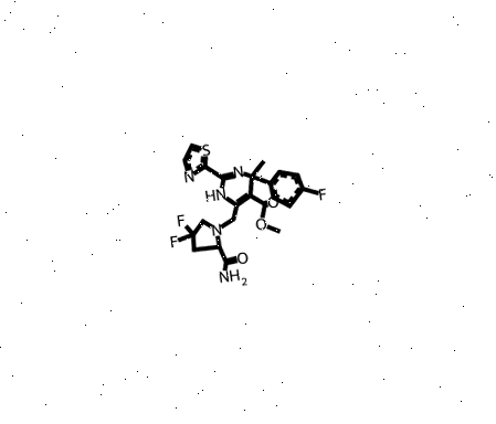 COC(=O)C1=C(CN2CC(F)(F)CC2C(N)=O)NC(c2nccs2)=NC1(C)c1ccc(F)cc1